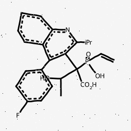 C=CP(=O)(O)C(C(=O)O)(c1c(C(C)C)nc2ccccc2c1-c1ccc(F)cc1)C(C)O